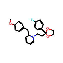 COc1ccc(CC2C=CC=CN2CCC2(c3ccc(F)cc3)OCCO2)cc1